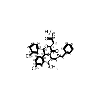 CC[C@@H](CSCc1ccccc1)N1C(=O)[C@H](CC(=O)OC)O[C@H](c2cccc(Cl)c2)C1c1ccc(Cl)cc1